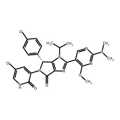 COc1nc(N(C)C)ncc1-c1nc2c(n1C(C)C)[C@@H](c1ccc(Cl)cc1)N(c1cc(Cl)c[nH]c1=O)C2=O